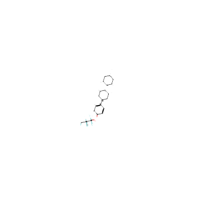 CCC[C@H]1CC[C@H](C2CCC(C3=CCC(OC(F)(F)C(F)(F)CF)C=C3)CC2)CC1